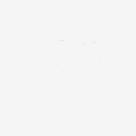 COCC(C)NCc1c(F)cccc1N1CCN(C(=O)C(Cc2ccc(Cl)cc2Cl)N2CCNCC2=O)CC1